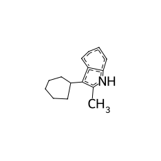 Cc1[nH]c2ccccc2c1C1CCCCC1